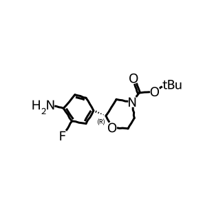 CC(C)(C)OC(=O)N1CCO[C@H](c2ccc(N)c(F)c2)C1